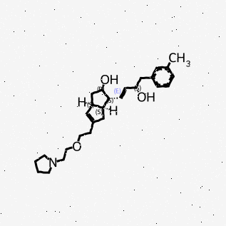 Cc1cccc(C[C@H](O)/C=C/[C@@H]2[C@H]3CC(CCOCCN4CCCC4)=C[C@H]3C[C@H]2O)c1